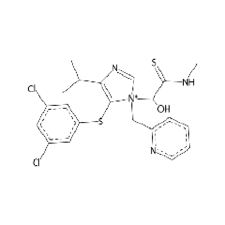 CNC(=S)C(O)[N+]1(Cc2ccccn2)C=NC(C(C)C)=C1Sc1cc(Cl)cc(Cl)c1